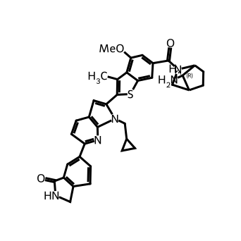 COc1cc(C(=O)N2CC3CCC2[C@@H]3N)cc2sc(-c3cc4ccc(-c5ccc6c(c5)C(=O)NC6)nc4n3CC3CC3)c(C)c12